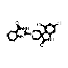 O=C1Nc2cc(Cl)cc(Cl)c2C12CCN(c1nc3c(c(=O)[nH]1)CCCC3)CC2